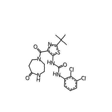 CC(C)(C)c1nc(C(=O)N2CCNC(=O)CC2)c(NC(=O)Nc2cccc(Cl)c2Cl)s1